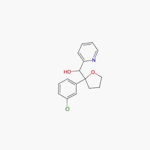 OC(c1ccccn1)C1(c2cccc(Cl)c2)CCCO1